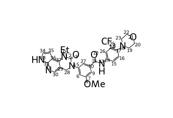 CCN1C(=O)N(c2cc(OC)cc(C(=O)Nc3ccc(N4CCOCC4)c(C(F)(F)F)c3)c2)Cc2cnc3[nH]ccc3c21